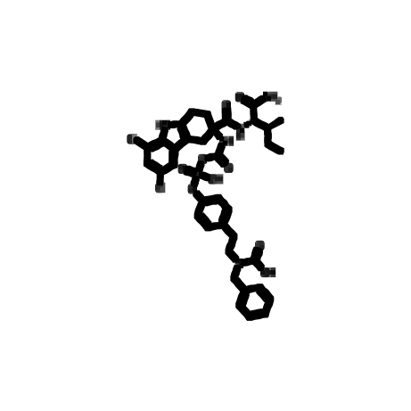 CC[C@H](C)[C@H](NC(=O)[C@@]1(NC(=O)OP(=O)(O)Oc2ccc(CCN(Cc3ccccc3)C(=O)O)cc2)CCc2[nH]c3c(Cl)cc(Cl)cc3c2C1)C(N)=O